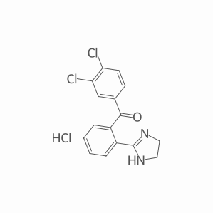 Cl.O=C(c1ccc(Cl)c(Cl)c1)c1ccccc1C1=NCCN1